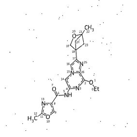 CCOc1nc(NC(=O)c2coc(C)n2)cn2cc(C34COC(C)(C3)C4)nc12